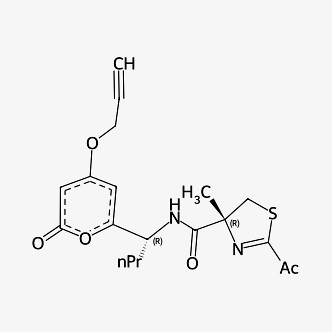 C#CCOc1cc([C@@H](CCC)NC(=O)[C@]2(C)CSC(C(C)=O)=N2)oc(=O)c1